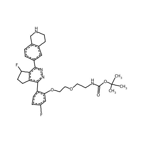 CC(C)(C)OC(=O)NCCOCCOc1cc(F)ccc1-c1nnc(-c2ccc3c(c2)CCNC3)c2c1CCC2F